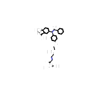 CC/C(=C(/c1ccc(OCCNC/C=C/C(=O)N(C)C)cc1)c1ccc2[nH]nc(C)c2c1)c1ccccc1